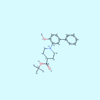 COc1ccc(-c2ccccc2)cc1N1CCC(C(=O)OC(C)(C)C)CC1